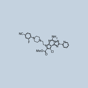 COC(=O)c1c(Cl)c2c(nc(N)n3nc(-c4ccccn4)nc23)n1CCN1CCN(c2ccc(C#N)cc2F)CC1